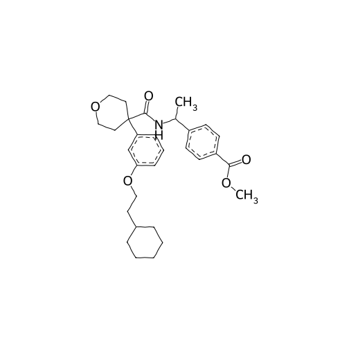 COC(=O)c1ccc(C(C)NC(=O)C2(c3cccc(OCCC4CCCCC4)c3)CCOCC2)cc1